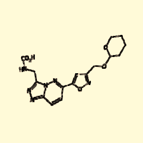 O=C(O)NCc1nnc2ccc(-c3cc(COC4CCCCO4)no3)nn12